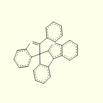 c1ccc(C2=Nc3ccccc3C23c2ccccc2-c2c3sc3ccccc23)cc1